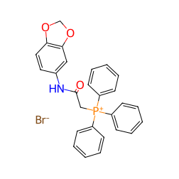 O=C(C[P+](c1ccccc1)(c1ccccc1)c1ccccc1)Nc1ccc2c(c1)OCO2.[Br-]